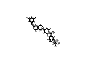 Cc1cc(C)cc(Nc2ncc3c(n2)CCN([C@@H]2CCN(C(=O)c4ccnc(NS(C)(=O)=O)c4)[C@H](C)C2)C3)c1